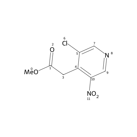 COC(=O)Cc1c(Cl)cncc1[N+](=O)[O-]